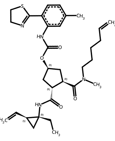 C=CCCCCN(C)C(=O)[C@@H]1C[C@H](OC(=O)Nc2cc(C)ccc2C2=NCCS2)C[C@H]1C(=O)N[C@]1(CC)C[C@H]1C=C